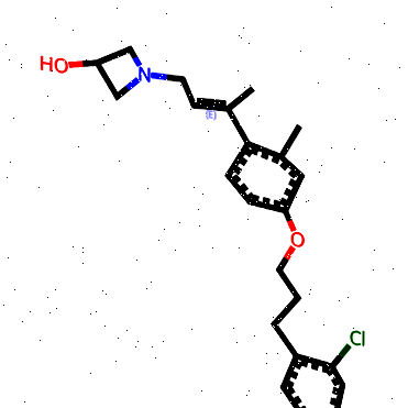 C/C(=C\CN1CC(O)C1)c1ccc(OCCCc2ccccc2Cl)cc1C